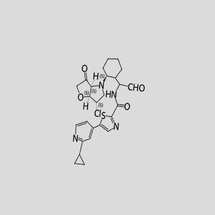 O=CC(NC(=O)c1ncc(-c2ccnc(C3CC3)c2)s1)C1CCCC[C@@H]1N1C[C@H](Cl)[C@H]2OCC(=O)[C@H]21